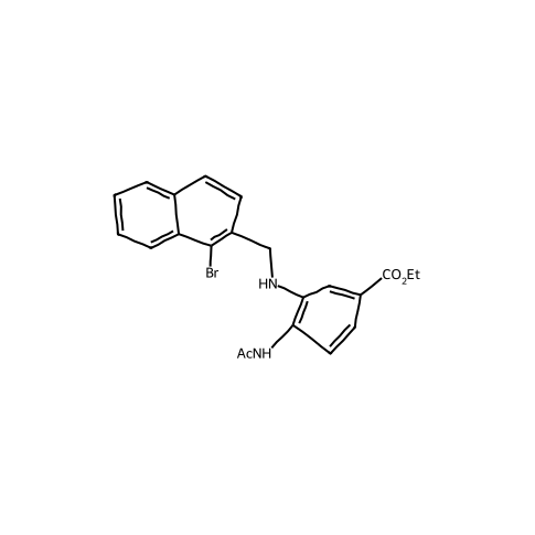 CCOC(=O)c1ccc(NC(C)=O)c(NCc2ccc3ccccc3c2Br)c1